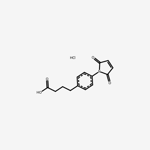 Cl.O=C(O)CCCc1ccc(N2C(=O)C=CC2=O)cc1